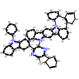 C1=CC2Sc3nc(-c4ccc5c(c4)c4ccccc4n5-c4ccccc4)c(-n4c5ccccc5c5cc6c(cc54)c4cccc5c4n6-c4ccccc4C4=C5CCC=C4)nc3C2C=C1